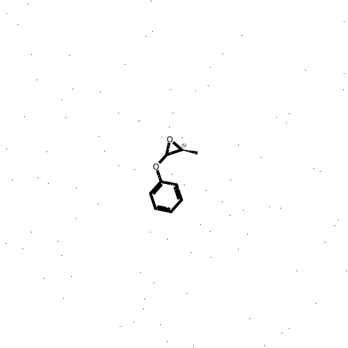 C[C@@H]1OC1Oc1ccccc1